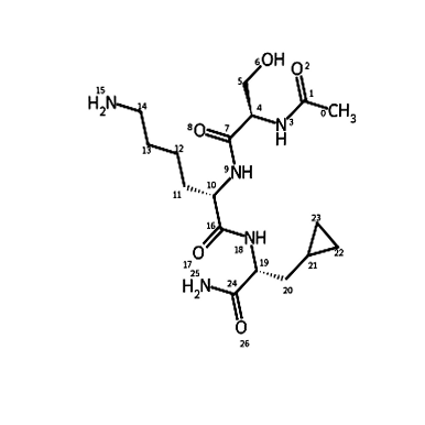 CC(=O)N[C@H](CO)C(=O)N[C@@H](CCCCN)C(=O)N[C@H](CC1CC1)C(N)=O